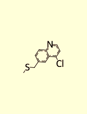 CSCc1ccc2nccc(Cl)c2c1